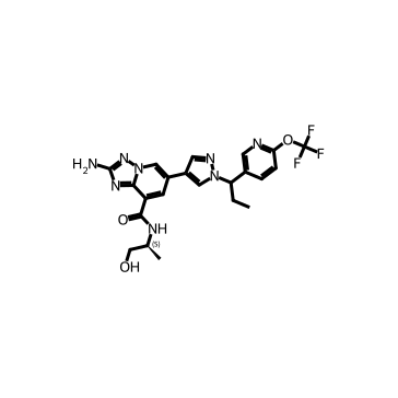 CCC(c1ccc(OC(F)(F)F)nc1)n1cc(-c2cc(C(=O)N[C@@H](C)CO)c3nc(N)nn3c2)cn1